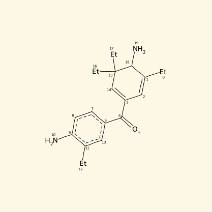 CCC1=CC(C(=O)c2ccc(N)c(CC)c2)=CC(CC)(CC)C1N